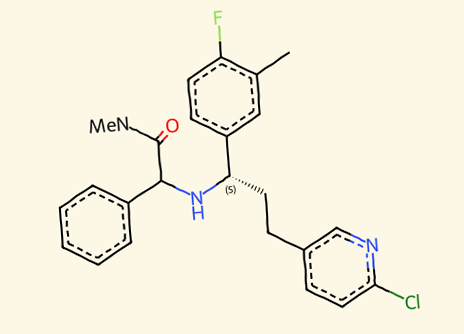 CNC(=O)C(N[C@@H](CCc1ccc(Cl)nc1)c1ccc(F)c(C)c1)c1ccccc1